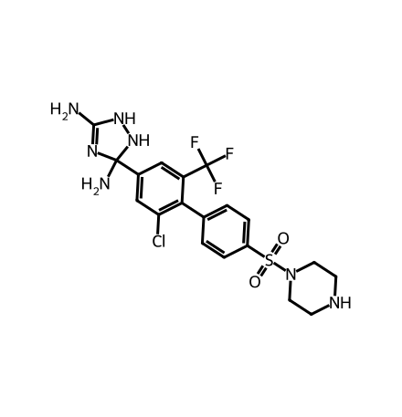 NC1=NC(N)(c2cc(Cl)c(-c3ccc(S(=O)(=O)N4CCNCC4)cc3)c(C(F)(F)F)c2)NN1